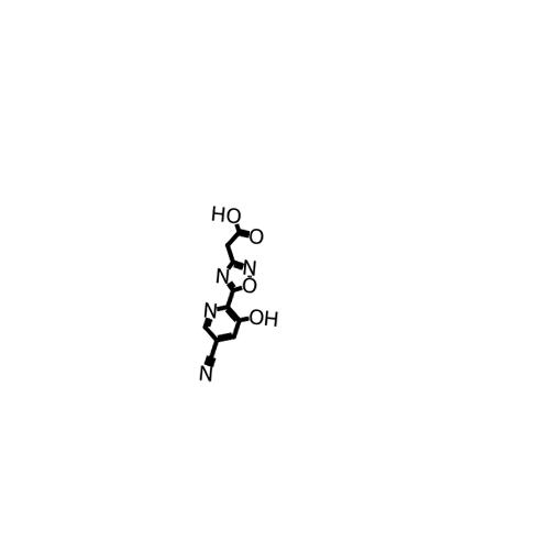 N#Cc1cnc(-c2nc(CC(=O)O)no2)c(O)c1